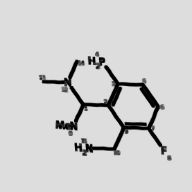 CNC(c1c(P)ccc(F)c1CN)N(C)C